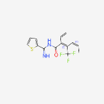 C=C/C(C(=O)NC(=N)c1cccs1)=C(\C=C/C)C(F)(F)F